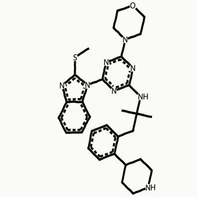 CSc1nc2ccccc2n1-c1nc(NC(C)(C)Cc2ccccc2C2CCNCC2)nc(N2CCOCC2)n1